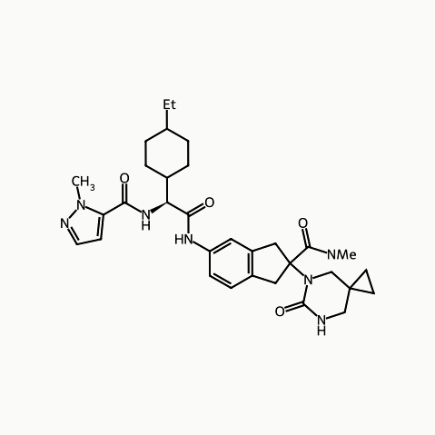 CCC1CCC([C@H](NC(=O)c2ccnn2C)C(=O)Nc2ccc3c(c2)CC(C(=O)NC)(N2CC4(CC4)CNC2=O)C3)CC1